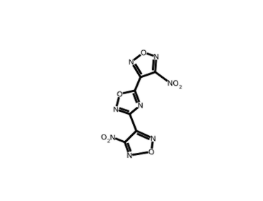 O=[N+]([O-])c1nonc1-c1noc(-c2nonc2[N+](=O)[O-])n1